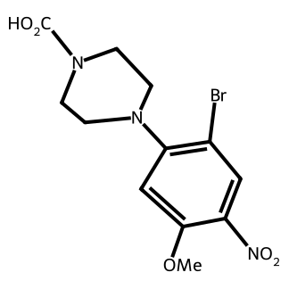 COc1cc(N2CCN(C(=O)O)CC2)c(Br)cc1[N+](=O)[O-]